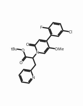 COc1cn(C(Cc2ccccn2)C(=O)OC(C)(C)C)c(=O)cc1-c1cc(Cl)ccc1F